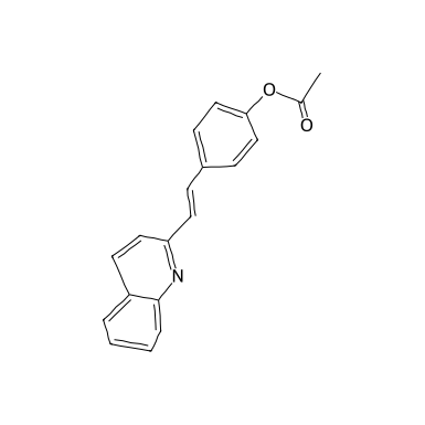 CC(=O)Oc1ccc(/C=C/c2ccc3ccccc3n2)cc1